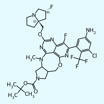 CN1c2nc(OC[C@@]34CCCN3C[C@H](F)C4)nc3c(F)c(-c4cc(N)cc(Cl)c4C(F)(F)F)nc(c23)OCC2CN(C(=O)OC(C)(C)C)CC21